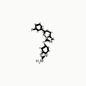 Nc1nc2ccc(Sc3nnc4n3N=C(c3cccc(F)c3)CC4)cc2s1